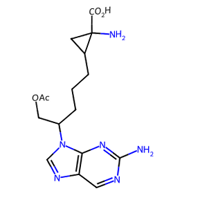 CC(=O)OCC(CCCC1CC1(N)C(=O)O)n1cnc2cnc(N)nc21